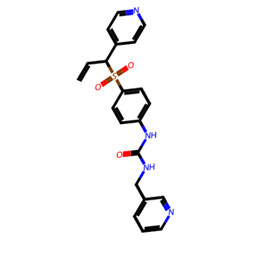 C=CC(c1ccncc1)S(=O)(=O)c1ccc(NC(=O)NCc2cccnc2)cc1